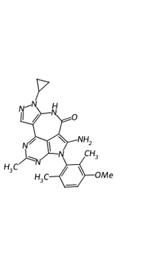 COc1ccc(C)c(-n2c(N)c3c4c(nc(C)nc42)-c2cnn(C4CC4)c2NC3=O)c1C